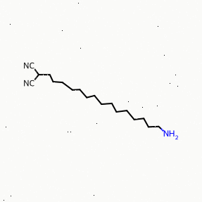 N#CC(C#N)CCCCCCCCCCCCCCCN